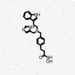 O=C(CCc1ccc(CN(CCc2c[nH]c3ccccc23)Cc2cnc[nH]2)cc1)NO